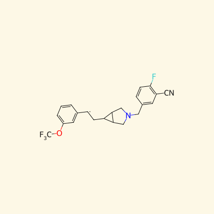 N#Cc1cc(CN2CC3C(C[CH]c4cccc(OC(F)(F)F)c4)C3C2)ccc1F